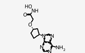 Nc1ncnc2c1ncn2[C@H]1CC[C@H](OCC(=O)NO)C1